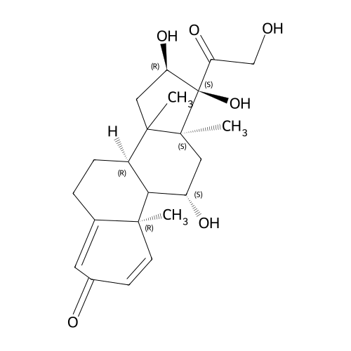 CC12C[C@@H](O)[C@](O)(C(=O)CO)[C@@]1(C)C[C@H](O)C1[C@H]2CCC2=CC(=O)C=C[C@@]21C